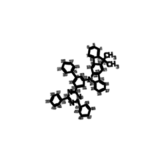 CC1(C)c2ccccc2-c2cc3c(cc21)c1ccccc1n3-c1cc(-c2ccccc2)cc(-c2nc(-c3ccccc3)nc(-c3ccccc3)n2)c1